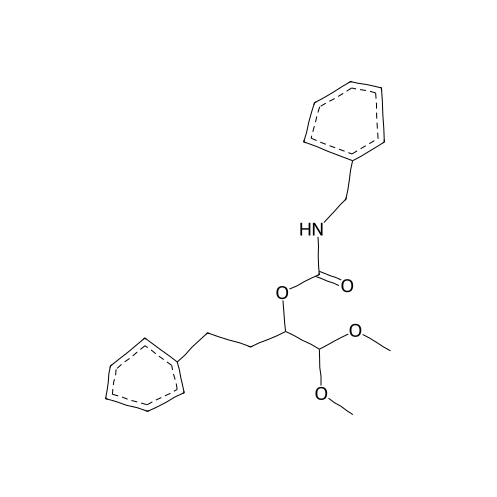 COC(OC)C(CCc1ccccc1)OC(=O)NCc1ccccc1